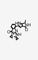 CC1NC(=O)c2cc(-c3cccc4c(=O)n(C5CC5)c(NC5(C)CC5)nc34)[nH]c21